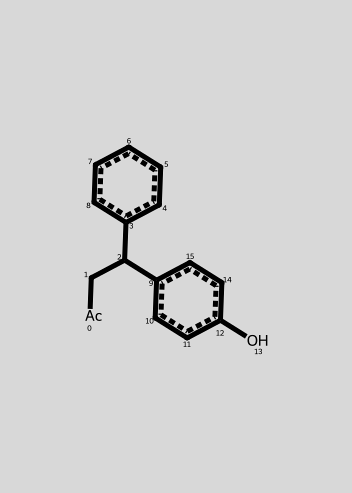 CC(=O)CC(c1ccccc1)c1ccc(O)cc1